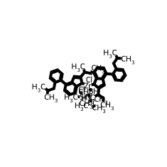 CCC(C)C1=Cc2c(-c3ccccc3CC(C)C)cccc2[CH]1[Zr]([Cl])([Cl])([BH]N([Si](C)(C)C)[Si](C)(C)C)[CH]1C(C(C)CC)=Cc2c(-c3ccccc3CC(C)C)cccc21